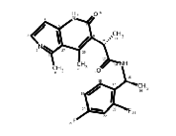 Cc1nccc2[nH]c(=O)c([C@H](C)C(=O)N[C@@H](C)c3ccc(F)cc3F)c(C)c12